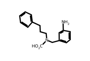 Nc1cccc(CN(CCCc2ccccc2)C(=O)O)c1